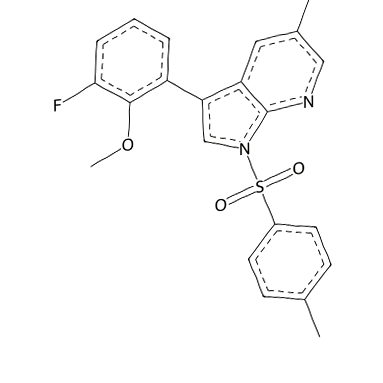 COc1c(F)cccc1-c1cn(S(=O)(=O)c2ccc(C)cc2)c2ncc(Br)cc12